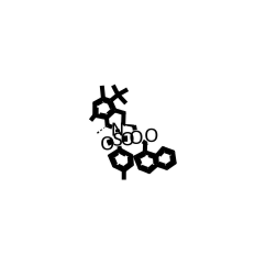 Cc1ccc(S(=O)(=O)N2[C@H](COC(=O)c3cccc4ccccc34)Cc3c(c(C)cc(C)c3C(C)(C)C)[C@H]2C)cc1